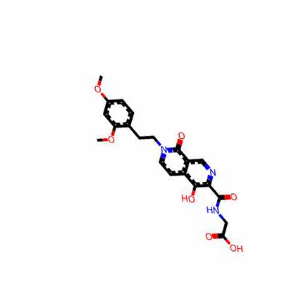 COc1ccc(CCn2ccc3c(O)c(C(=O)NCC(=O)O)ncc3c2=O)c(OC)c1